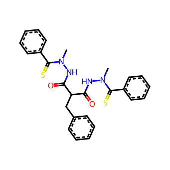 CN(NC(=O)C(Cc1ccccc1)C(=O)NN(C)C(=S)c1ccccc1)C(=S)c1ccccc1